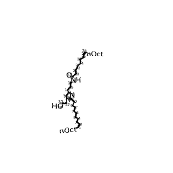 CCCCCCCC/C=C\CCCCCCCCC1=NC(CCCNC(=O)CCCCCCC/C=C\CCCCCCCC)CN1CCO